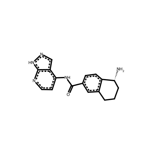 N[C@@H]1CCCc2cc(C(=O)Nc3ccnc4[nH]ncc34)ccc21